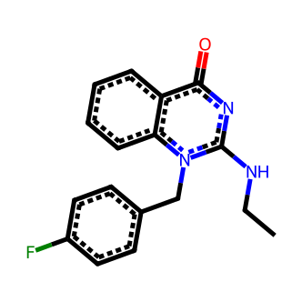 CCNc1nc(=O)c2ccccc2n1Cc1ccc(F)cc1